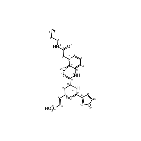 CC(C)CCNC(=O)Cn1cccc(NC(=O)C(CCC=CC(=O)O)NC(=O)c2ccoc2)c1=O